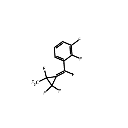 FC(=C1C(F)(F)C1(F)C(F)(F)F)c1cccc(F)c1F